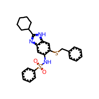 O=S(=O)(Nc1cc2nc(C3CCCCC3)[nH]c2cc1SCc1ccccc1)c1ccccc1